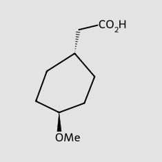 CO[C@H]1CC[C@H](CC(=O)O)CC1